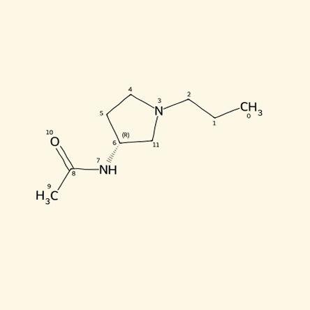 CCCN1CC[C@@H](NC(C)=O)C1